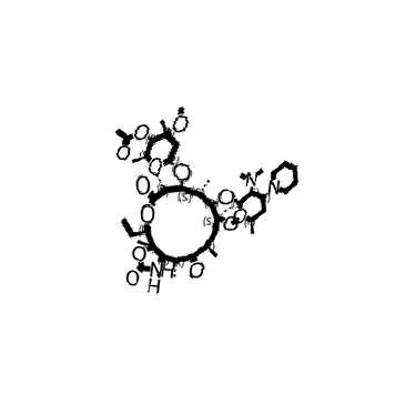 CC[C@H]1OC(=O)[C@H](C)[C@@H](O[C@H]2C[C@@](C)(OC)[C@@H](OC(C)=O)[C@H](C)O2)[C@H](C)[C@@H](O[C@@H]2O[C@H](C)C[C@@H](N3CCCCC3)[C@@H]2N(C)C)[C@@](C)(OC)C[C@@H](C)C(=O)[C@H](C)[C@H]2NC(=O)O[C@@]21C